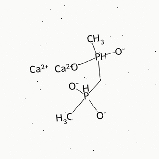 C[PH]([O-])([O-])C[PH](C)([O-])[O-].[Ca+2].[Ca+2]